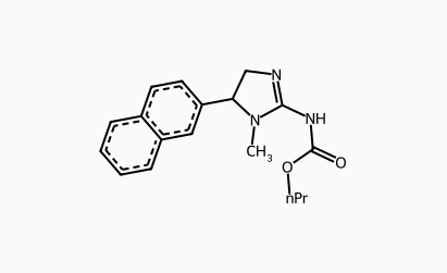 CCCOC(=O)NC1=NCC(c2ccc3ccccc3c2)N1C